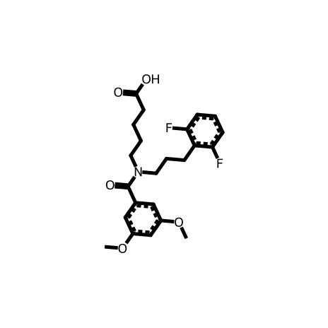 COc1cc(OC)cc(C(=O)N(CCCCC(=O)O)CCCc2c(F)cccc2F)c1